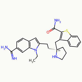 CCn1c(CC[C@]2(Cc3c(C(N)=O)sc4ccccc34)CCCN2)cc2ccc(C(=N)N)cc21